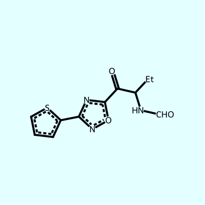 CCC(NC=O)C(=O)c1nc(-c2cccs2)no1